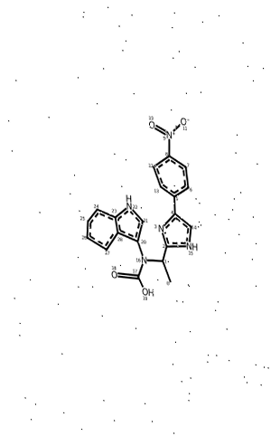 CC(c1nc(-c2ccc([N+](=O)[O-])cc2)c[nH]1)N(C(=O)O)c1c[nH]c2ccccc12